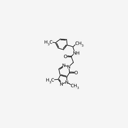 Cc1ccc(C(C)NC(=O)Cn2ncc3c(C)nn(C)c3c2=O)cc1